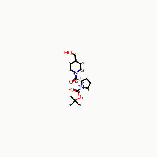 CC(C)(C)OC(=O)N1CCC[C@H]1C(=O)N1CCC(CO)CC1